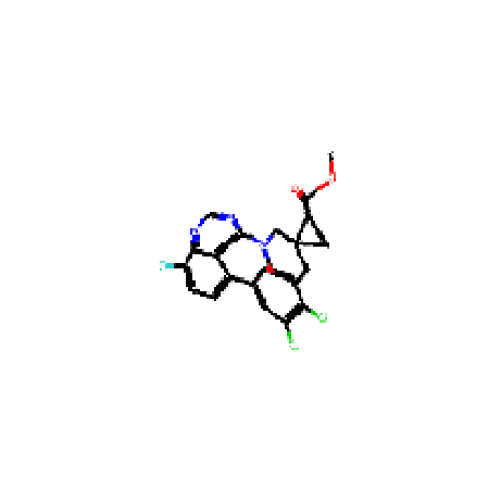 COC(=O)C1CC12CCCN(c1ncnc3c(F)ccc(-c4ccc(Cl)c(Cl)c4)c13)C2